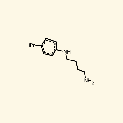 CC(C)c1ccc(NCCCCN)cc1